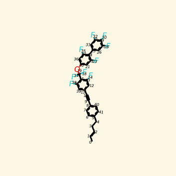 C/C=C/CCc1ccc(C#Cc2cc(F)c(C(F)(F)Oc3cc(F)c(-c4cc(F)c(F)c(F)c4)c(F)c3)c(F)c2)cc1